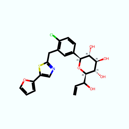 C=CC(O)[C@H]1O[C@@H](c2ccc(Cl)c(Cc3ncc(-c4ccco4)s3)c2)[C@H](O)[C@@H](O)[C@@H]1O